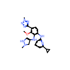 COc1c(-c2nnn(C)n2)ccc(Nc2cccc(C3CC3)n2)c1NC1=CNN(C)C1